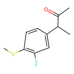 CSc1ccc(C(C)C(C)=O)cc1F